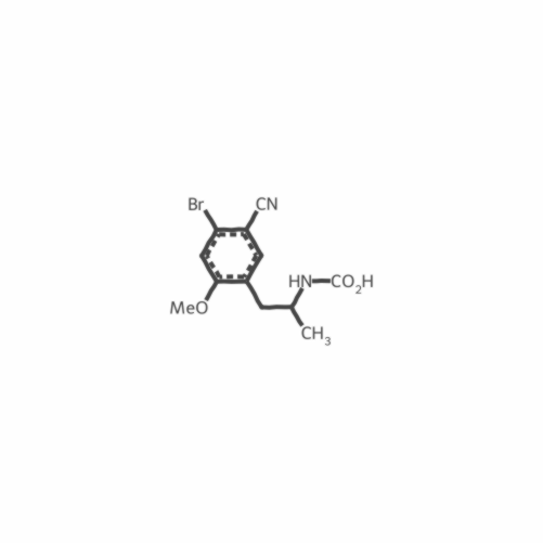 COc1cc(Br)c(C#N)cc1CC(C)NC(=O)O